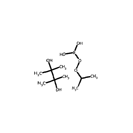 CC(C)(O)C(C)(C)O.CC(C)OOB(O)O